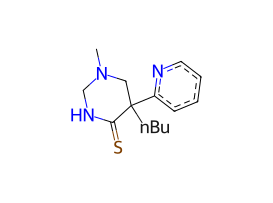 CCCCC1(c2ccccn2)CN(C)CNC1=S